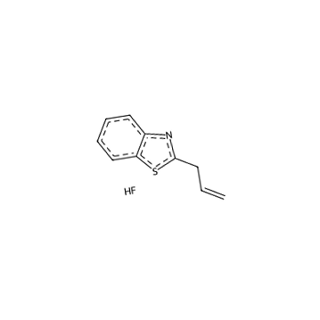 C=CCc1nc2ccccc2s1.F